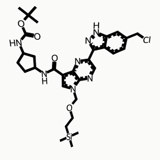 CC(C)(C)OC(=O)NC1CCC(NC(=O)c2cn(COCC[Si](C)(C)C)c3ncc(-c4n[nH]c5cc(CCl)ccc45)nc23)C1